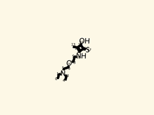 CCN(CC)CCOCCNC1=C(C)C(O)C1=S